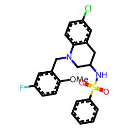 COc1ccc(F)cc1CN1CC(NS(=O)(=O)c2ccccc2)Cc2cc(Cl)ccc21